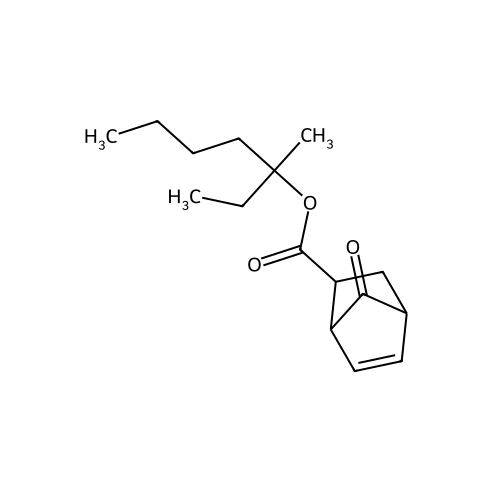 CCCCC(C)(CC)OC(=O)C1CC2C=CC1C2=O